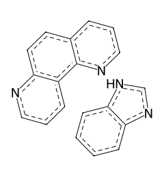 c1ccc2[nH]cnc2c1.c1cnc2c(c1)ccc1ncccc12